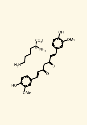 COc1cc(C=CC(=O)CC(=O)C=Cc2ccc(O)c(OC)c2)ccc1O.NCCCC[C@H](N)C(=O)O